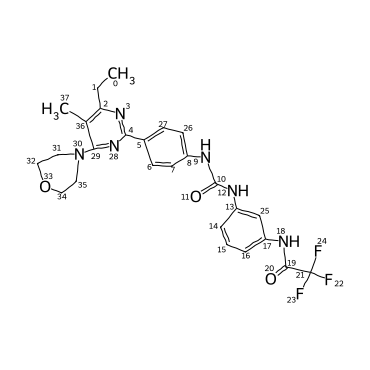 CCc1nc(-c2ccc(NC(=O)Nc3cccc(NC(=O)C(F)(F)F)c3)cc2)nc(N2CCOCC2)c1C